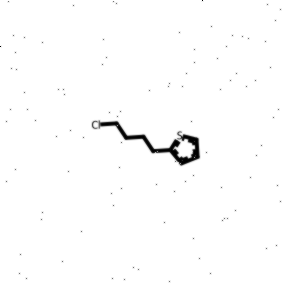 ClCCCCc1cccs1